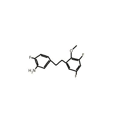 COc1c(F)cc(F)cc1CCc1ccc(F)c(N)c1